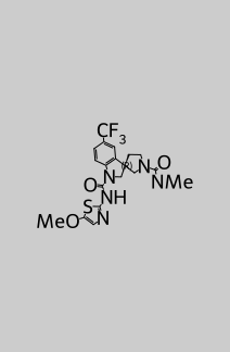 CNC(=O)N1CC[C@@]2(C1)CN(C(=O)Nc1ncc(OC)s1)c1ccc(C(F)(F)F)cc12